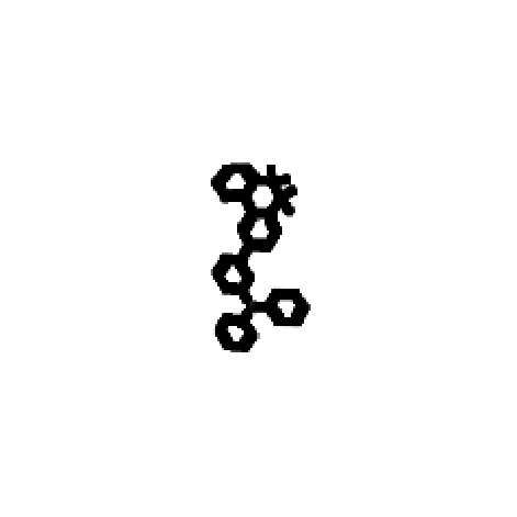 CC1(C)c2ccccc2-c2cc(-c3cccc(N(c4ccccc4)c4ccccc4)c3)ccc2C1(C)C